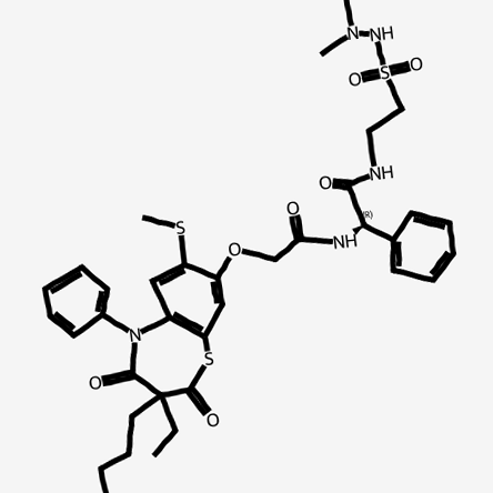 CCCCC1(CC)C(=O)Sc2cc(OCC(=O)N[C@@H](C(=O)NCCS(=O)(=O)NN(C)C)c3ccccc3)c(SC)cc2N(c2ccccc2)C1=O